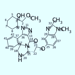 COC[C@]1(O)CCCC[C@H]1n1cnc(C(=O)N2CCNC[C@H]2CCOc2ccc3c(c2)nc(C)n3C)c1-c1ccccc1